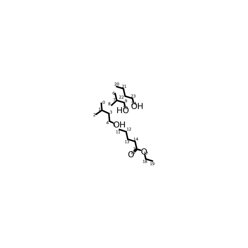 CC(C)CCO.CC(C)CO.CCCCC(=O)OCC.CCCCO